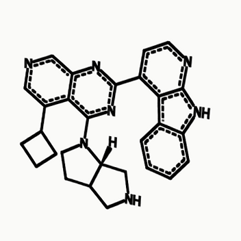 c1ccc2c(c1)[nH]c1nccc(-c3nc(N4CCC5CNC[C@H]54)c4c(C5CCC5)cncc4n3)c12